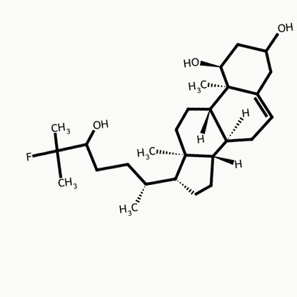 C[C@H](CCC(O)C(C)(C)F)[C@H]1CC[C@H]2[C@@H]3CC=C4CC(O)C[C@H](O)[C@]4(C)[C@H]3CC[C@]12C